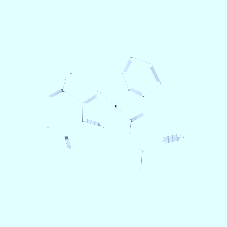 CC(C#N)OC(=O)C1(c2ccccc2)N=C(C(=O)O)C(C(=O)O)=N1